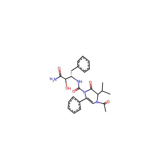 CC(=O)N1C=C(c2ccccc2)N(C(=O)N[C@@H](Cc2ccccc2)C(O)C(N)=O)C(=O)C1C(C)C